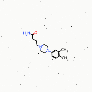 Cc1ccc(N2CCN(CCCC(N)=O)CC2)cc1C